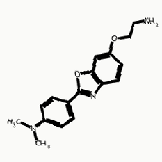 CN(C)c1ccc(-c2nc3ccc(OCCN)cc3o2)cc1